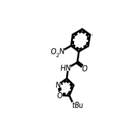 CC(C)(C)c1cc(NC(=O)c2c[c]ccc2[N+](=O)[O-])no1